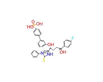 O=P(O)(O)c1ccc(-c2ccc([C@@H]3[C@@H](CCC[C@@H](O)c4ccc(F)cc4)NC(=S)N3c3ccccc3)c(O)c2)cc1